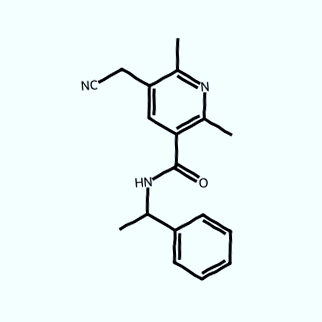 Cc1nc(C)c(C(=O)NC(C)c2ccccc2)cc1CC#N